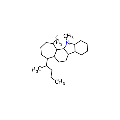 CCCC(C)C1CCCC(C)C2C1CCC1C3CCCCC3N(C)C12